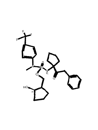 CN(c1ccc(C(F)(F)F)cc1)P(=O)(NC1(C(=O)Cc2ccccc2)CCCC1)OCC1CCC[C@H]1O